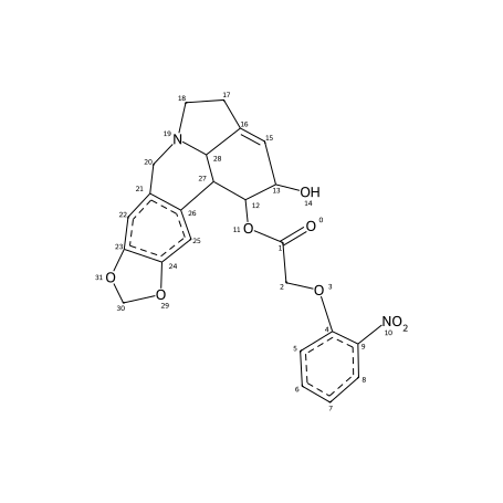 O=C(COc1ccccc1[N+](=O)[O-])OC1C(O)C=C2CCN3Cc4cc5c(cc4C1C23)OCO5